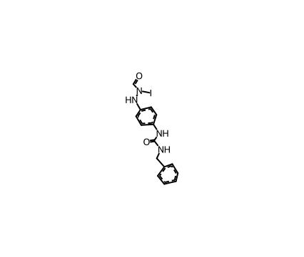 O=CN(I)Nc1ccc(NC(=O)NCc2ccccc2)cc1